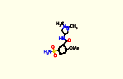 COc1ccc(S(N)(=O)=O)cc1C(=O)NC1CN(C)N(C)C1